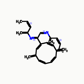 C=C(/C=C\C)/N=C\C(=N/C(=C)/C=C\C)c1ccc(=C)ccccc(=C)c1